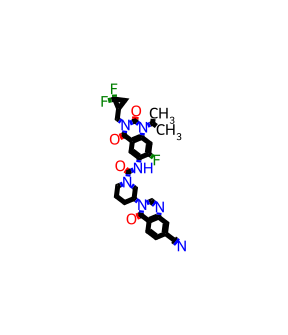 CC(C)n1c(=O)n(CC2CC2(F)F)c(=O)c2cc(NC(=O)N3CCCC(n4cnc5cc(C#N)ccc5c4=O)C3)c(F)cc21